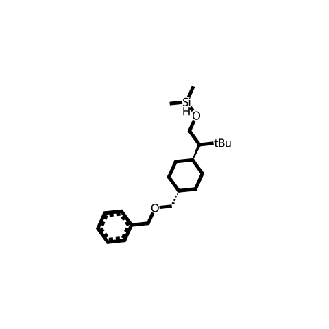 C[SiH](C)OCC([C@H]1CC[C@H](COCc2ccccc2)CC1)C(C)(C)C